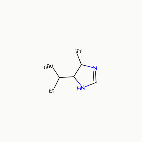 CCCCC(CC)C1NC=NC1C(C)C